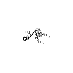 C=CCNc1nc(NCC=C)nc(N(CC)CCN(CC)Cc2cc3ccccc3s2)n1